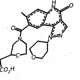 Cc1cc2[nH]c(=O)c3cnn(C4CCOCC4)c3c2cc1C(=O)N1CCCC(CC(=O)O)C1